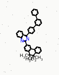 CC1(C)c2ccccc2-c2cc(-c3nc(-c4ccc(-c5cccc(-c6ccccc6)c5)cc4)c4ccccc4n3)ccc2C1(C)C